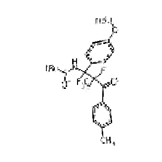 CCCCOc1ccc(C(N[S+]([O-])C(C)(C)C)(C(F)(F)F)C(F)(F)C(=O)c2ccc(C)cc2)cc1